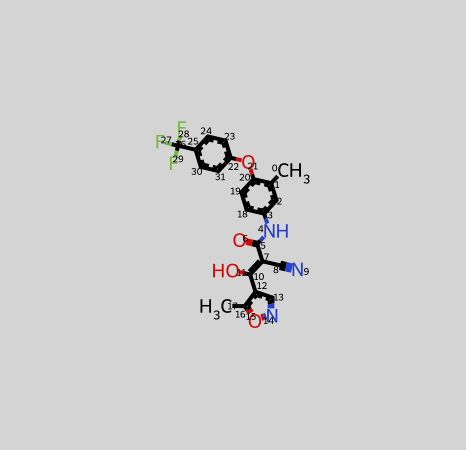 Cc1cc(NC(=O)/C(C#N)=C(\O)c2cnoc2C)ccc1Oc1ccc(C(F)(F)F)cc1